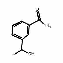 [CH2]C(O)c1cccc(C(N)=O)c1